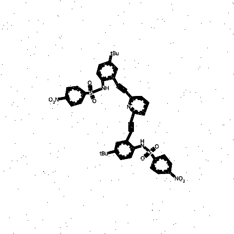 CC(C)(C)c1ccc(NS(=O)(=O)c2ccc([N+](=O)[O-])cc2)c(C#Cc2cccc(C#Cc3cc(C(C)(C)C)ccc3NS(=O)(=O)c3ccc([N+](=O)[O-])cc3)n2)c1